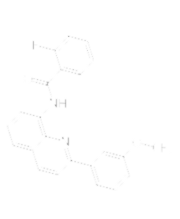 O=C(Nc1cccc2ccc(-c3cccc(OC(F)(F)F)c3)nc12)c1ccccc1F